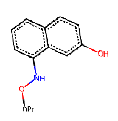 CCCONc1cccc2ccc(O)cc12